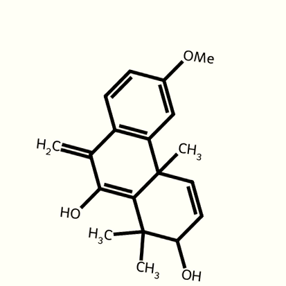 C=C1C(O)=C2C(C)(C=CC(O)C2(C)C)c2cc(OC)ccc21